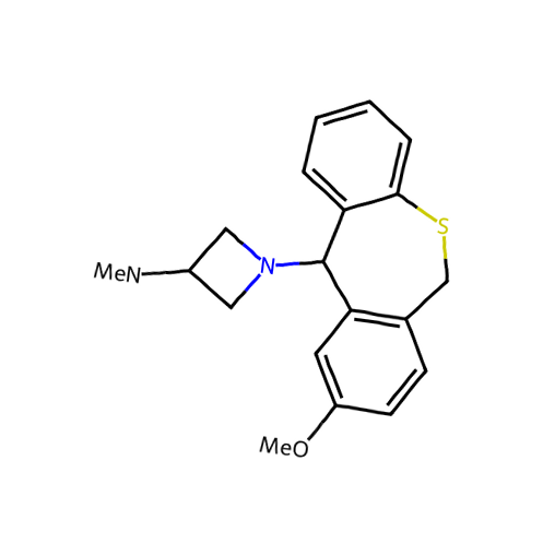 CNC1CN(C2c3cc(OC)ccc3CSc3ccccc32)C1